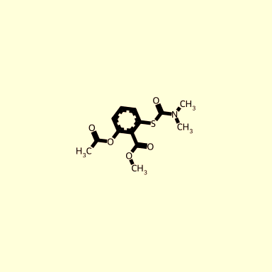 COC(=O)c1c(OC(C)=O)cccc1SC(=O)N(C)C